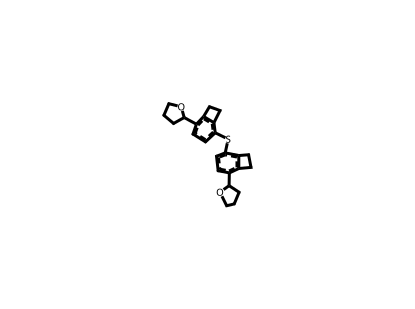 c1cc(C2CCCO2)c2c(c1Sc1ccc(C3CCCO3)c3c1CC3)CC2